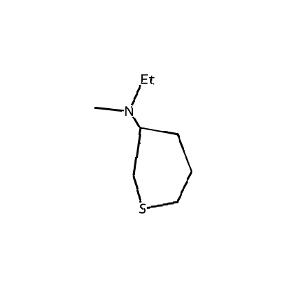 [CH2]CN(C)C1CCCSC1